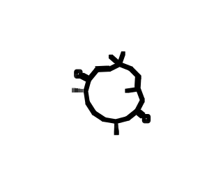 C/C1=C\CC(C)(C)/C=C/C(=O)[C@@H](C)CCC[C@H](C)CC(=O)C1